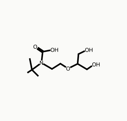 CC(C)(C)N(CCOC(CO)CO)C(=O)O